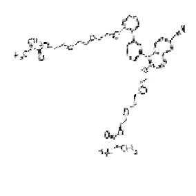 C=C(C)C(=O)OCCOCCOCCOc1ccccc1-c1cccc(-c2c(OCCOCCOCCOC(=O)C(=C)C)ccc3cc(C#N)ccc23)c1